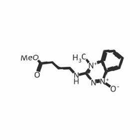 COC(=O)CCCNc1n[n+]([O-])c2ccccc2[n+]1C